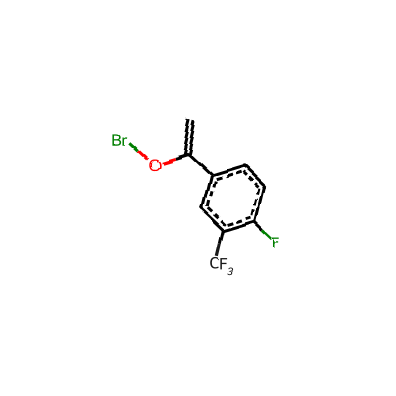 C=C(OBr)c1ccc(F)c(C(F)(F)F)c1